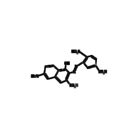 CNc1ccc2c(O)c(/N=N/c3cc(S(=O)(=O)O)ccc3S(=O)(=O)O)c(S(=O)(=O)O)cc2c1